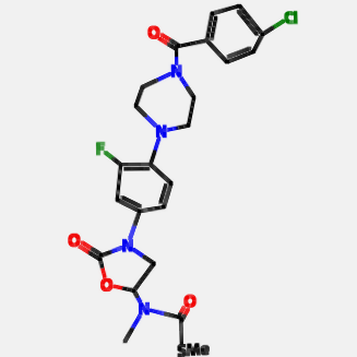 CSC(=O)N(C)C1CN(c2ccc(N3CCN(C(=O)c4ccc(Cl)cc4)CC3)c(F)c2)C(=O)O1